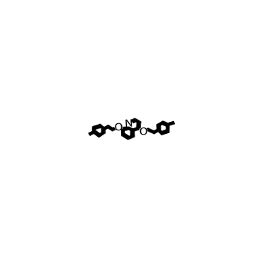 Cc1ccc(CCOc2ccnc3c(OCCc4ccc(C)cc4)cccc23)cc1